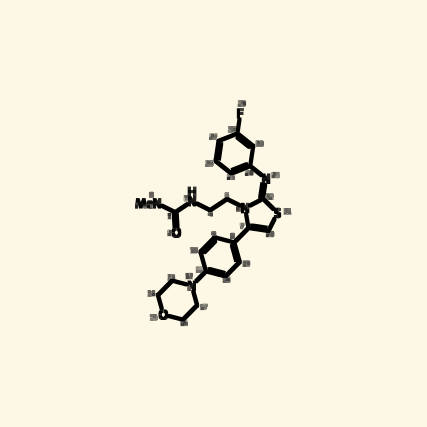 CNC(=O)NCCn1c(-c2ccc(N3CCOCC3)cc2)cs/c1=N/c1cccc(F)c1